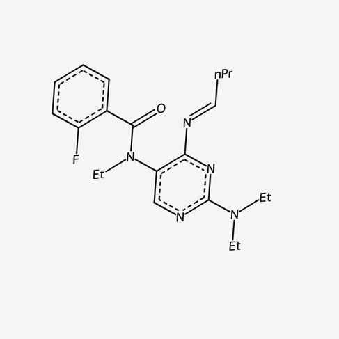 [CH2]CCC=Nc1nc(N(CC)CC)ncc1N(CC)C(=O)c1ccccc1F